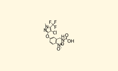 Cn1nc(Oc2ccc([N+](=O)[O-])c(CNC(=O)O)c2)c(Cl)c1C(F)(F)F